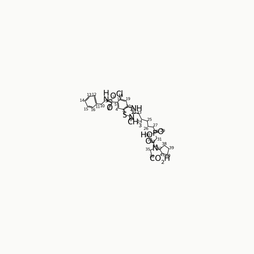 CN1Sc2cc(S(=O)(=O)NCc3ccccc3)c(Cl)cc2NC1CCCCCP(=O)(O)CC(=O)N(CC(=O)O)C1CCCC1